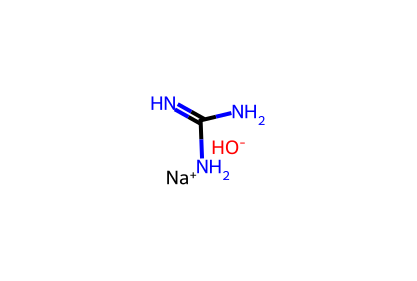 N=C(N)N.[Na+].[OH-]